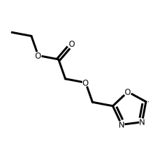 CCOC(=O)COCc1nn[c]o1